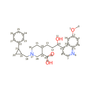 COc1ccc2nccc(C(O)CCC3CCN(CC4CC4c4ccccc4)CC3C(=O)O)c2c1